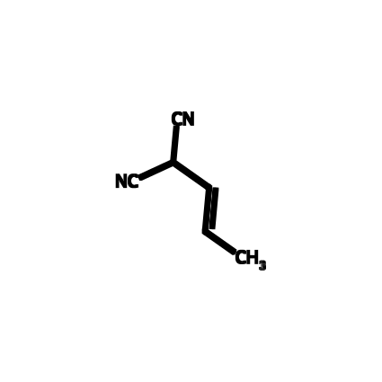 CC=CC(C#N)C#N